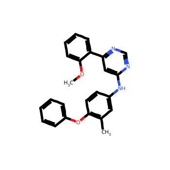 COc1ccccc1-c1cc(Nc2ccc(Oc3ccccc3)c(C)c2)ncn1